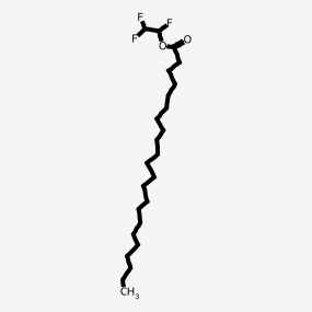 CCCCCCCCCCCCCCCCCCCCCC(=O)OC(F)C(F)F